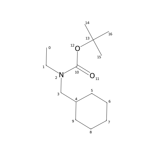 CCN(CC1CCCCC1)C(=O)OC(C)(C)C